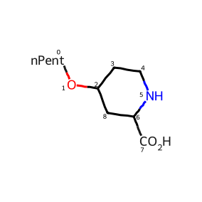 CCCCCOC1CCNC(C(=O)O)C1